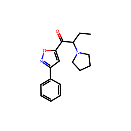 CCC(C(=O)c1cc(-c2ccccc2)no1)N1CCCC1